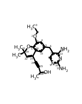 CCOc1cc(Cc2cnc(N)nc2N)cc2c1OC(C)(C)C=C2C#CC(C)O